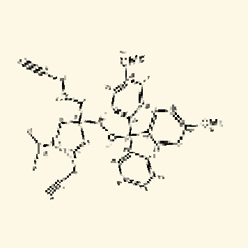 C#CCOCC(COCC#C)(COP(C)C)COC(c1ccccc1)(c1ccc(OC)cc1)c1ccc(OC)cc1